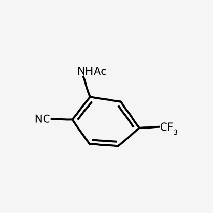 CC(=O)Nc1cc(C(F)(F)F)ccc1C#N